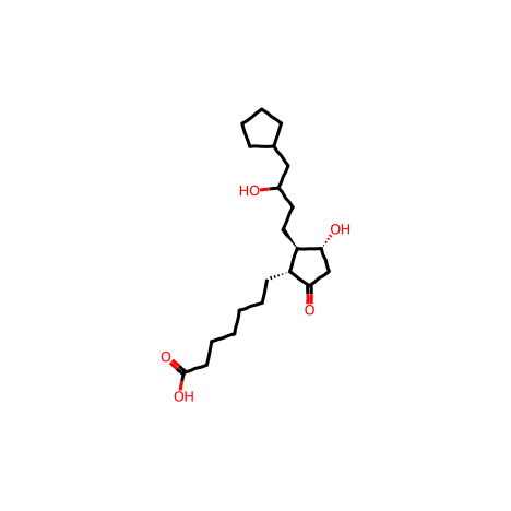 O=C(O)CCCCCC[C@H]1C(=O)C[C@@H](O)[C@@H]1CCC(O)CC1CCCC1